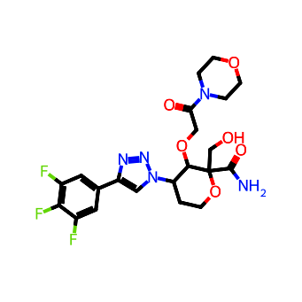 NC(=O)C1(CO)OCCC(n2cc(-c3cc(F)c(F)c(F)c3)nn2)C1OCC(=O)N1CCOCC1